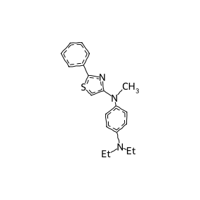 CCN(CC)c1ccc(N(C)c2csc(-c3ccccc3)n2)cc1